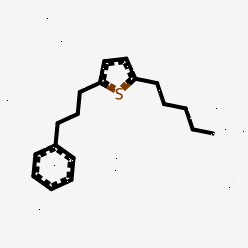 CCCCCc1ccc(CCCc2ccccc2)s1